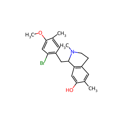 COc1cc(Br)c(CC2c3cc(O)c(C)cc3CCN2C)cc1C